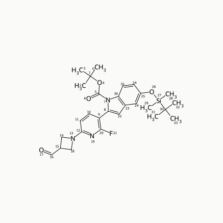 CC(C)(C)OC(=O)n1c(-c2ccc(N3CC(C=O)C3)nc2F)cc2cc(O[Si](C)(C)C(C)(C)C)ccc21